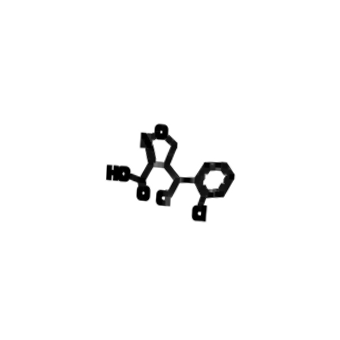 O=C(O)C1=NOCC1C(Cl)c1ccccc1Cl